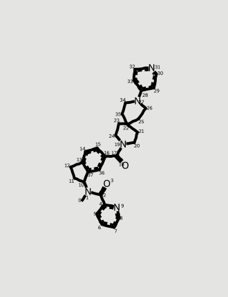 CN(C(=O)c1ccccn1)C1CCc2ccc(C(=O)N3CCC4(CC3)CCN(c3ccncc3)CC4)cc21